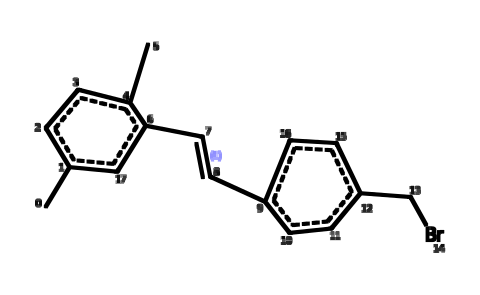 Cc1ccc(C)c(/C=C/c2ccc(CBr)cc2)c1